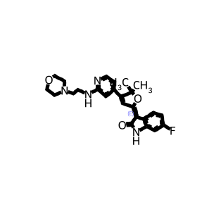 CC1(C)O/C(=C2/C(=O)Nc3cc(F)ccc32)C=C1c1ccnc(NCCN2CCOCC2)c1